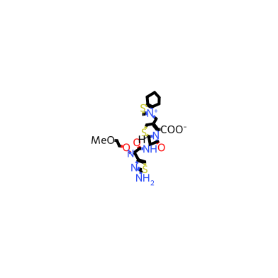 COCCO/N=C(\C(=O)N[C@@H]1C(=O)N2C(C(=O)[O-])=C(C[n+]3csc4c3CCCC4)CS[C@H]12)c1csc(N)n1